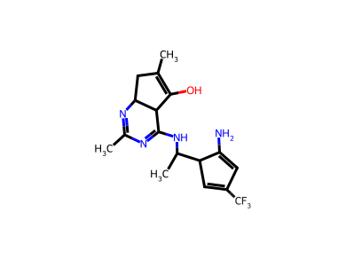 CC1=NC2CC(C)=C(O)C2C(NC(C)C2C=C(C(F)(F)F)C=C2N)=N1